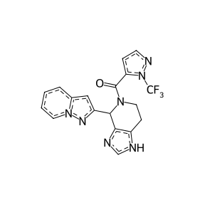 O=C(c1ccnn1C(F)(F)F)N1CCc2[nH]cnc2C1c1cc2ccccn2n1